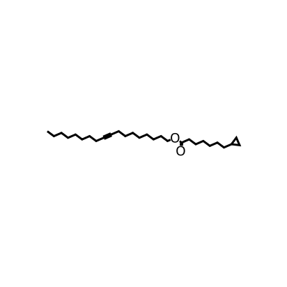 CCCCCCCCC#CCCCCCCCCOC(=O)CCCCCCC1CC1